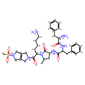 CC1CC(NC(=O)C(Cc2ccccc2)NC(=O)C(N)Cc2ccccc2)C(=O)N1C(CCCCN)C(=O)N1CC2=C(C1)CN(S(C)(=O)=O)C2